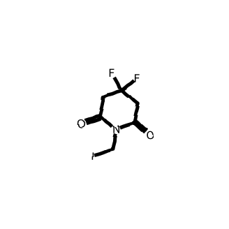 O=C1CC(F)(F)CC(=O)N1CI